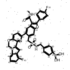 CNC(=O)c1c(-c2ccc(F)cc2)oc2cc(CS(=O)(=O)NCc3ccc(B(O)O)cc3)c(-c3ccc4c(n3)-c3cc5c(F)cccc5n3CO4)cc12